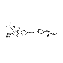 CNC(=O)Nc1ccc(C#Cc2ccc(C(=O)N[C@H](C(=O)NO)C(C)(NC(C)=O)C(F)F)cc2)cc1